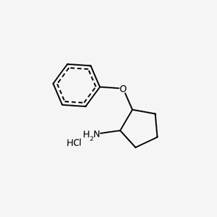 Cl.NC1CCCC1Oc1ccccc1